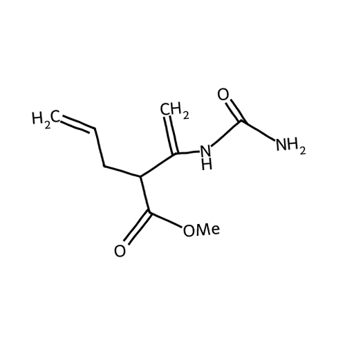 C=CCC(C(=C)NC(N)=O)C(=O)OC